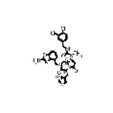 CN(C(=O)NCc1ccc(Cl)c(Cl)c1)N1CC(=O)N2[C@@H](Cc3cnc[nH]3)C(=O)N(Cc3cccc4sc(N)nc34)C[C@@H]21